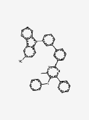 Cc1nc(-c2cccc(-c3cccc(-n4c5ccccc5c5cc(C#N)ccc54)c3)c2)nc(-c2ccccc2)c1Sc1ccccc1